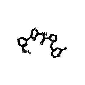 Nc1cccc(-c2csc(NC(=O)c3cccn3Cc3ccnc(F)c3)n2)c1